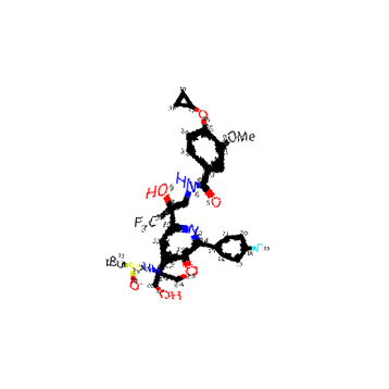 COc1cc(C(=O)NCC(O)(c2cc3c(c(-c4ccc(F)cc4)n2)OCC3(CO)N[S+]([O-])C(C)(C)C)C(F)(F)F)ccc1OC1CC1